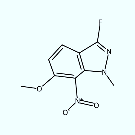 COc1ccc2c(F)nn(C)c2c1[N+](=O)[O-]